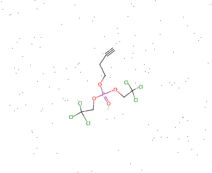 C#CCCOP(=O)(OCC(Cl)(Cl)Cl)OCC(Cl)(Cl)Cl